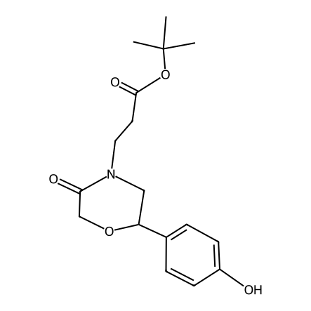 CC(C)(C)OC(=O)CCN1CC(c2ccc(O)cc2)OCC1=O